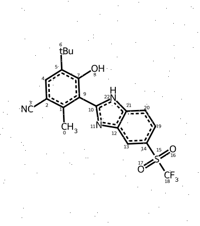 Cc1c(C#N)cc(C(C)(C)C)c(O)c1-c1nc2cc(S(=O)(=O)C(F)(F)F)ccc2[nH]1